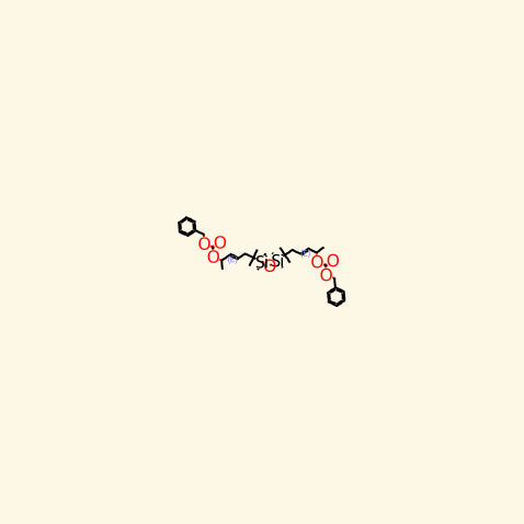 CC(/C=C/CC(C)(C)[Si](C)(C)O[Si](C)(C)C(C)(C)C/C=C/C(C)OC(=O)OCc1ccccc1)OC(=O)OCc1ccccc1